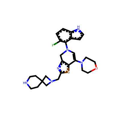 Fc1ccc2[nH]ccc2c1N1C=C(N2CCOCC2)c2sc(CN3CC4(CCNCC4)C3)nc2C1